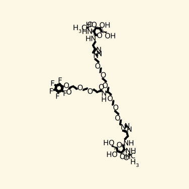 CC(=O)N[C@@H]1[C@@H](O)[C@@H](O)[C@@H](CO)O[C@H]1NCCc1cn(CCOCCOCCOCC(COCCOCCOCCn2cc(CCN[C@@H]3O[C@H](CO)[C@H](O)[C@H](O)[C@H]3NC(C)=O)nn2)NC(=O)CCOCCOCCC(=O)Oc2c(F)c(F)c(F)c(F)c2F)nn1